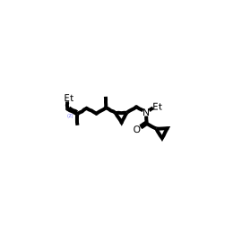 CC/C=C(/C)CCC(C)C1CC1CN(CC)C(=O)C1CC1